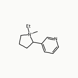 CC[N+]1(C)CCCC1c1cccnc1